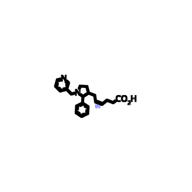 O=C(O)CC/C=C\CC1CCN(Cc2cccnc2)C1c1ccccc1